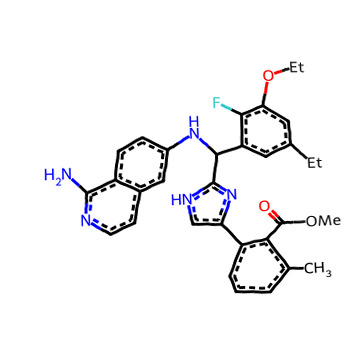 CCOc1cc(CC)cc(C(Nc2ccc3c(N)nccc3c2)c2nc(-c3cccc(C)c3C(=O)OC)c[nH]2)c1F